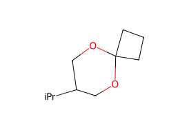 CC(C)C1COC2(CCC2)OC1